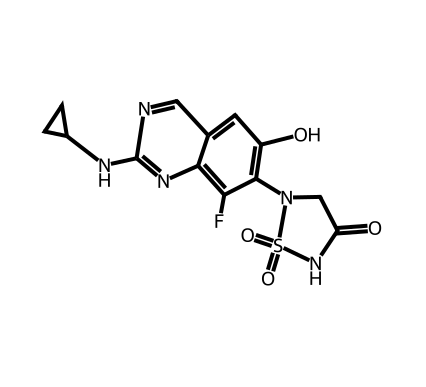 O=C1CN(c2c(O)cc3cnc(NC4CC4)nc3c2F)S(=O)(=O)N1